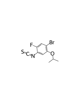 CC(C)Oc1cc(N=C=S)c(F)cc1Br